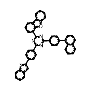 c1ccc2sc(-c3ccc(-c4nc(-c5ccc(-c6cccc7ccccc67)cc5)nc(-c5cccc6c5oc5ccccc56)n4)cc3)cc2c1